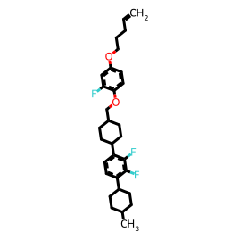 C=CCCCOc1ccc(OCC2CCC(c3ccc(C4CCC(C)CC4)c(F)c3F)CC2)c(F)c1